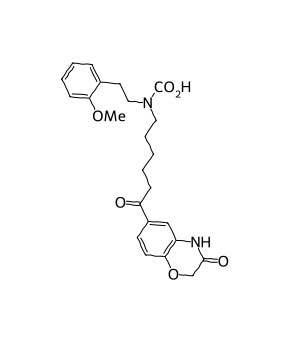 COc1ccccc1CCN(CCCCCC(=O)c1ccc2c(c1)NC(=O)CO2)C(=O)O